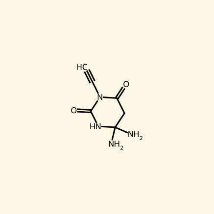 C#CN1C(=O)CC(N)(N)NC1=O